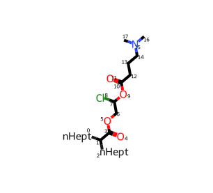 CCCCCCCC(CCCCCCC)C(=O)OCC(Cl)OC(=O)CCCN(C)C